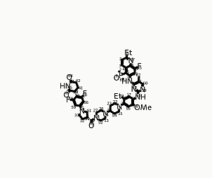 CCc1ccc2c(P(C)(C)=O)c(Nc3nc(Nc4cc(CC)c(N5CCC(N6CCN(C(=O)[C@@H]7CCN(c8cc(F)c([C@H]9CCC(=O)NC9=O)c(F)c8)C7)CC6)CC5)cc4OC)ncc3C)cc(F)c2n1